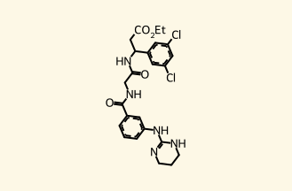 CCOC(=O)CC(NC(=O)CNC(=O)c1cccc(NC2=NCCCN2)c1)c1cc(Cl)cc(Cl)c1